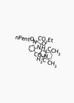 CCCCCON=C(C(=O)OCC)C(=O)N(c1ccc2c(c1)C(C)(C)CCC2(C)C)c1ccccc1C(=O)O